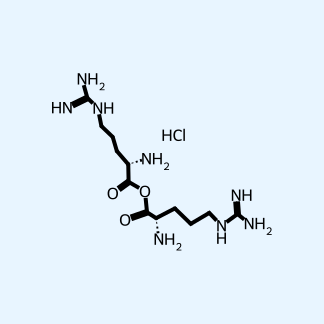 Cl.N=C(N)NCCC[C@H](N)C(=O)OC(=O)[C@@H](N)CCCNC(=N)N